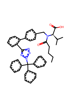 CCCCC(=O)N(Cc1ccc(-c2ccccc2-c2nnn(C(c3ccccc3)(c3ccccc3)c3ccccc3)n2)cc1)[C@@H](C(=O)O)C(C)C